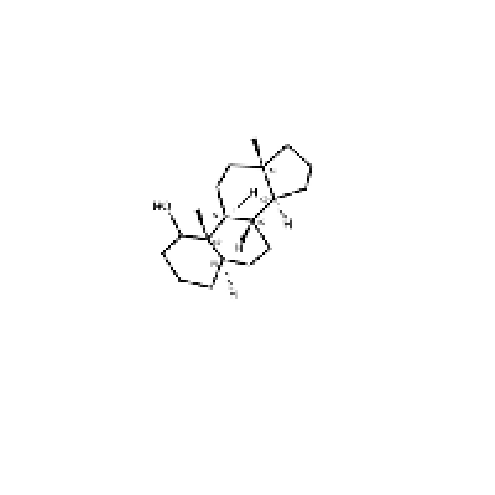 C[C@@]12CCC[C@H]1[C@@H]1CC[C@H]3CCCC(O)[C@]3(C)[C@H]1CC2